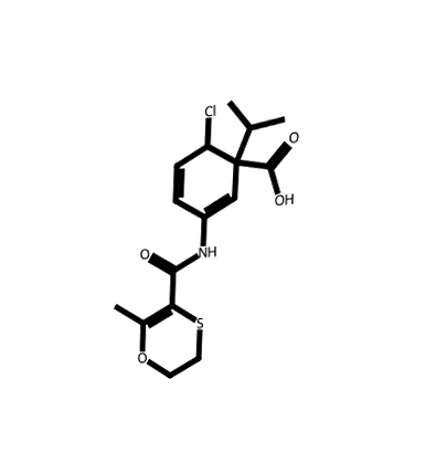 CC1=C(C(=O)NC2=CC(C(=O)O)(C(C)C)C(Cl)C=C2)SCCO1